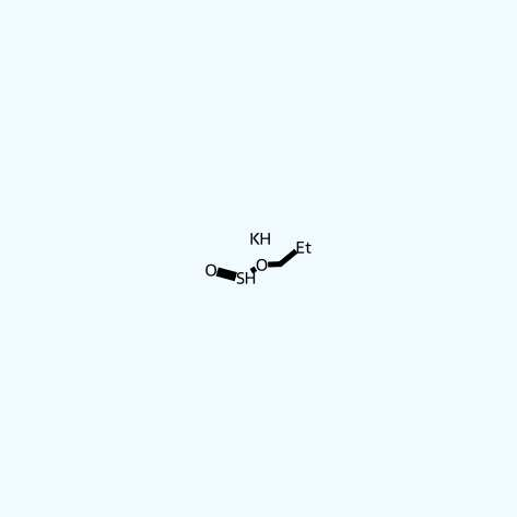 CCCO[SH]=O.[KH]